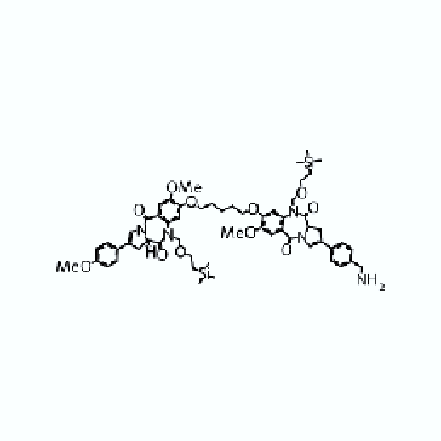 COc1ccc(C2=CN3C(=O)c4cc(OC)c(OCCCCCOc5cc6c(cc5OC)C(=O)N5C=C(c7ccc(CN)cc7)CC5C(=O)N6COCC[Si](C)(C)C)cc4N(COCC[Si](C)(C)C)C(=O)[C@@H]3C2)cc1